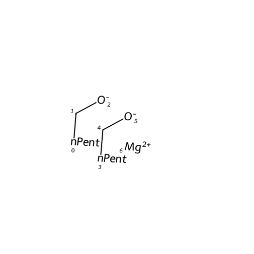 CCCCCC[O-].CCCCCC[O-].[Mg+2]